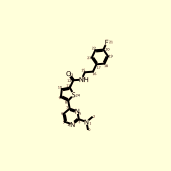 CN(C)c1nccc(-c2ccc(C(=O)NCCc3ccc(F)cc3)s2)n1